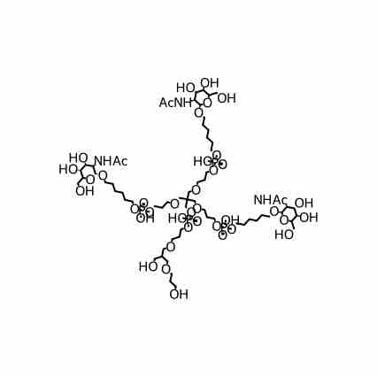 CC(=O)NC1[C@H](OCCCCCCOP(=O)(O)OCCCOCC(COCCCOP(=O)(O)OCCCCCCO[C@@H]2OC(CO)[C@H](O)C(O)[C@@H]2NC(C)=O)(COCCCOP(=O)(O)OCCCCCCO[C@@H]2OC(CO)[C@H](O)C(O)[C@@H]2NC(C)=O)COP(=O)(O)OCCCOCC(CO)COCCCO)OC(CO)[C@H](O)[C@@H]1O